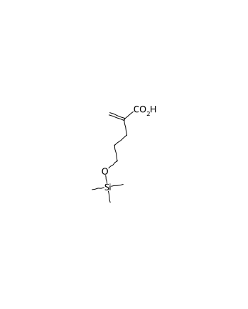 C=C(CCCO[Si](C)(C)C)C(=O)O